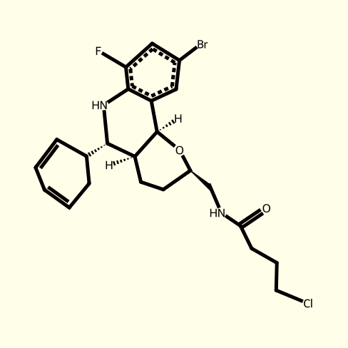 O=C(CCCCl)NC[C@H]1CC[C@@H]2[C@H](O1)c1cc(Br)cc(F)c1N[C@H]2C1C=CC=CC1